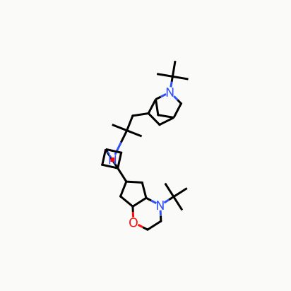 CC(C)(C)N1CC2CC(CC(C)(C)N3CC4(C5CC6OCCN(C(C)(C)C)C6C5)CC3C4)C1C2